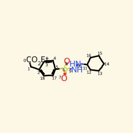 CCOC(=O)Cc1ccc(S(=O)(=O)NNC2CCCCC2)cc1